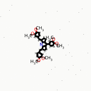 COc1ccc(C=C2CCc3c2nc2c(c3-c3ccc(OC)c(OC)c3)CCC2=Cc2ccc(OC)c(OC)c2)cc1OC